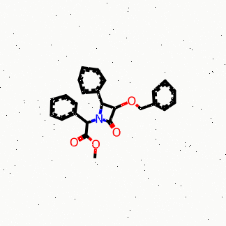 COC(=O)C(c1ccccc1)N1C(=O)C(OCc2ccccc2)C1c1ccccc1